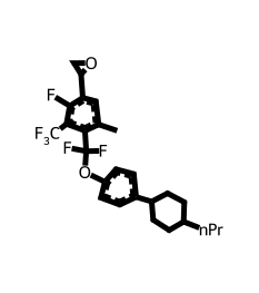 CCCC1CCC(c2ccc(OC(F)(F)c3c(C)cc(C4CO4)c(F)c3C(F)(F)F)cc2)CC1